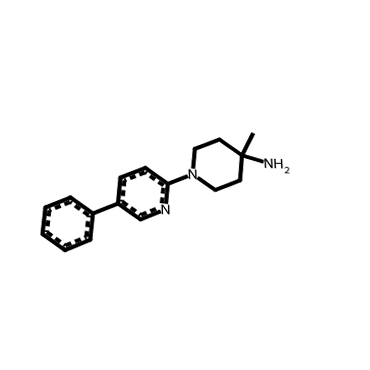 CC1(N)CCN(c2ccc(-c3ccccc3)cn2)CC1